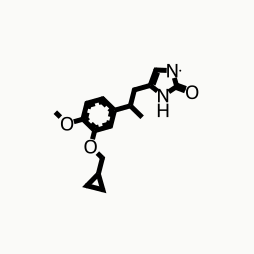 COc1ccc(C(C)CC2=C[N]C(=O)N2)cc1OCC1CC1